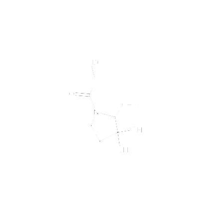 CC(C)(C)OC(=O)N1CCC(C)(C)C1C=O